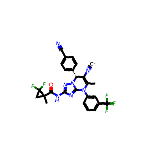 [C-]#[N+]C1=C(C)N(c2cccc(C(F)(F)F)c2)c2nc(NC(=O)C3(C)CC3(F)F)nn2[C@@H]1c1ccc(C#N)cc1